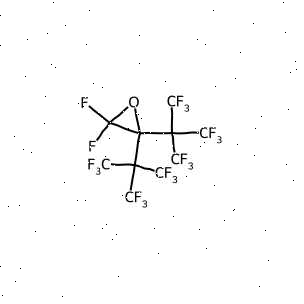 FC(F)(F)C(C(F)(F)F)(C(F)(F)F)C1(C(C(F)(F)F)(C(F)(F)F)C(F)(F)F)OC1(F)F